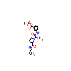 CCCNC(=O)C1CCCN(C(C)C(=O)Nc2cccc(C(=O)OC)c2)C1